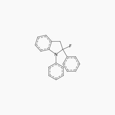 FC1(c2ccccc2)Cc2ccccc2N1c1ccccc1